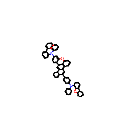 c1ccc(-c2ccccc2N(c2ccccc2)c2ccc3c(c2)Oc2cccc4c2c-3cc2c3ccccc3c(-c3ccc(N(c5ccccc5)c5cccc6c5oc5ccccc56)cc3)cc42)cc1